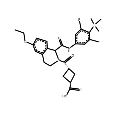 CCOc1ccc2c(c1)CCN(C(=O)[C@H]1C[C@H](C(=O)O)C1)C2C(=O)Nc1cc(F)c(S(C)(C)C)c(F)c1